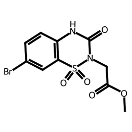 COC(=O)CN1C(=O)Nc2ccc(Br)cc2S1(=O)=O